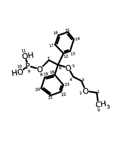 CCOCCOC(COP(O)O)(c1ccccc1)c1ccccc1